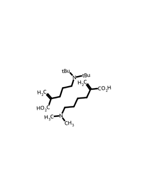 C=C(CCCCN(C)C)C(=O)O.C=C(CCCN(C(C)(C)C)C(C)(C)C)C(=O)O